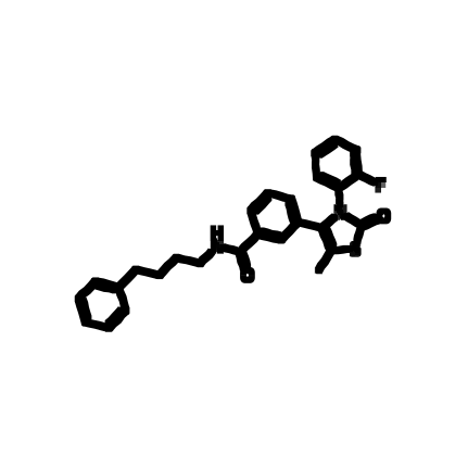 Cc1sc(=O)n(-c2ccccc2F)c1-c1cccc(C(=O)NCCCCc2ccccc2)c1